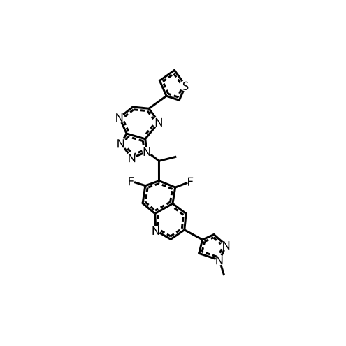 CC(c1c(F)cc2ncc(-c3cnn(C)c3)cc2c1F)n1nnc2ncc(-c3ccsc3)nc21